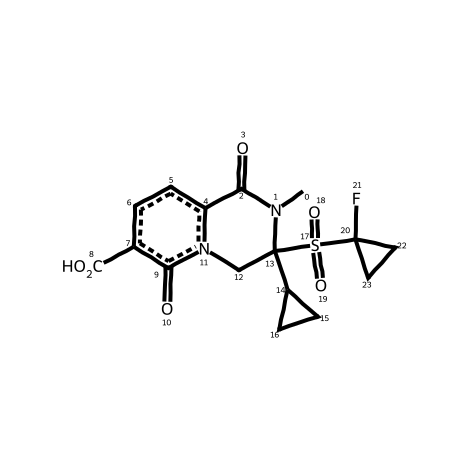 CN1C(=O)c2ccc(C(=O)O)c(=O)n2CC1(C1CC1)S(=O)(=O)C1(F)CC1